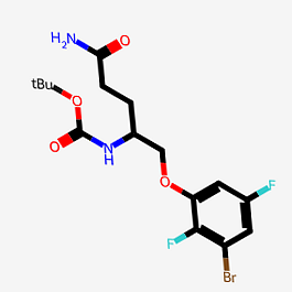 CC(C)(C)OC(=O)NC(CCC(N)=O)COc1cc(F)cc(Br)c1F